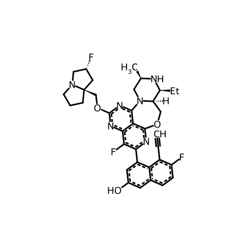 C#Cc1c(F)ccc2cc(O)cc(-c3nc4c5c(nc(OC[C@@]67CCCN6C[C@H](F)C7)nc5c3F)N3C[C@@H](C)N[C@@H](CC)[C@H]3CO4)c12